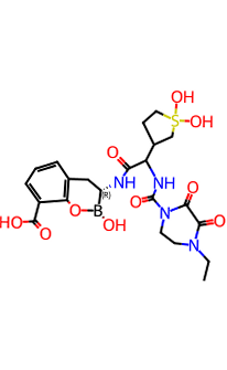 CCN1CCN(C(=O)NC(C(=O)N[C@H]2Cc3cccc(C(=O)O)c3OB2O)C2CCS(O)(O)C2)C(=O)C1=O